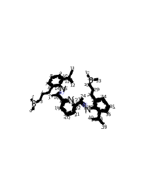 CB(C)CCCc1cccc(C(C)C)c1/N=C(\C)c1cccc(/C(C)=N/c2c(CCCB(C)C)cccc2C(C)C)n1